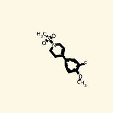 COc1ccc(C2=CCN(S(C)(=O)=O)CC2)cc1F